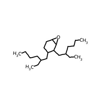 CCCCC(CC)CC1CCC2OC2C1CC(CC)CCCC